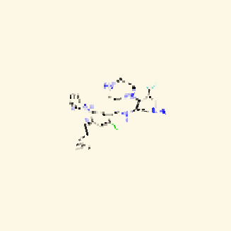 C\C=C/N=C1/C=C(CNC2=CNCC(C(F)F)=C2N2CCNCC2)C(Cl)=C/C1=C\CCC